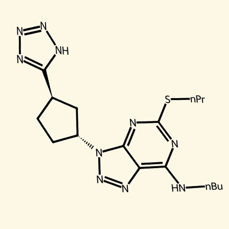 CCCCNc1nc(SCCC)nc2c1nnn2[C@@H]1CC[C@@H](c2nnn[nH]2)C1